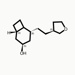 O[C@@H]1C[C@@H](CC[C@H]2CCOC2)C2CC[C@H]2C1